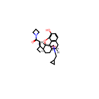 O=C(/C=C1\CC[C@]12CC[C@@]1(O)[C@H]3Cc4ccc(O)c5c4[C@@]1(CCN3CC1CC1)[C@H]2O5)N1CCC1